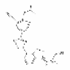 CC(C)Oc1ccc(-c2nc(-c3cccc4c3CC[C@H]4N[C@@H](C)CO)no2)cc1C#N